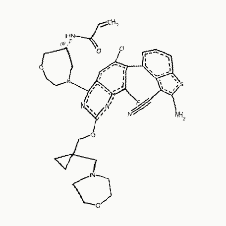 C=CC(=O)N[C@H]1COCCN(c2nc(OCC3(CN4CCOCC4)CC3)nc3c(F)c(-c4cccc5sc(N)c(C#N)c45)c(Cl)cc23)C1